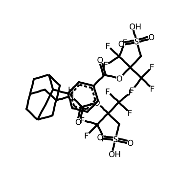 O=C(NC12CC3CC(C1)C(c1cccc(C(=O)OC(CS(=O)(=O)O)(C(F)(F)F)C(F)(F)F)c1)C(C3)C2)OC(CS(=O)(=O)O)(C(F)(F)F)C(F)(F)F